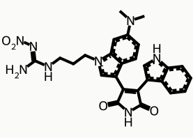 CN(C)c1ccc2c(C3=C(c4c[nH]c5ccccc45)C(=O)NC3=O)cn(CCCNC(N)=N[N+](=O)[O-])c2c1